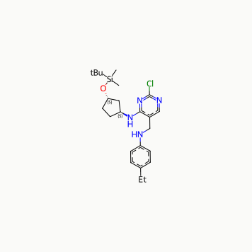 CCc1ccc(NCc2cnc(Cl)nc2N[C@H]2CC[C@H](O[Si](C)(C)C(C)(C)C)C2)cc1